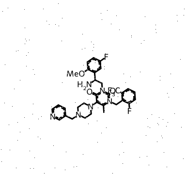 COc1ccc(F)cc1C(N)Cn1c(=O)c(N2CCN(Cc3cccnc3)CC2)c(C)n(Cc2c(F)cccc2C(F)(F)F)c1=O